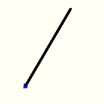 CC#CC#CC#CC#CC#CC#CC#CC#CC#CC#CC#CC#CC#CC#CC#CC#CC#CC#CC#CC#CC#CC#CC#CC#CC#CC#CC#CC#CC#CC#N